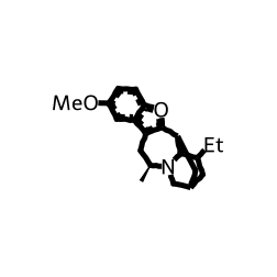 CCC1CC2CC3c4oc5ccc(OC)cc5c4C[C@H](C)N(C2)C13